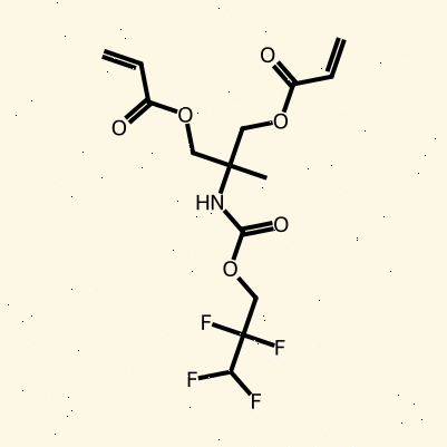 C=CC(=O)OCC(C)(COC(=O)C=C)NC(=O)OCC(F)(F)C(F)F